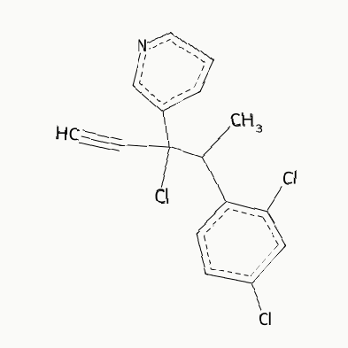 C#CC(Cl)(c1cccnc1)C(C)c1ccc(Cl)cc1Cl